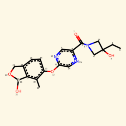 CCC1(O)CN(C(=O)c2cnc(Oc3ccc4c(c3C)B(O)OC4)cn2)C1